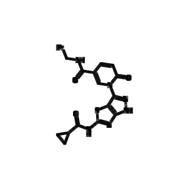 CC(C)CNC(=O)c1ccc(=O)n(-c2n[nH]c3nc(NC(=O)C4CC4)sc23)c1